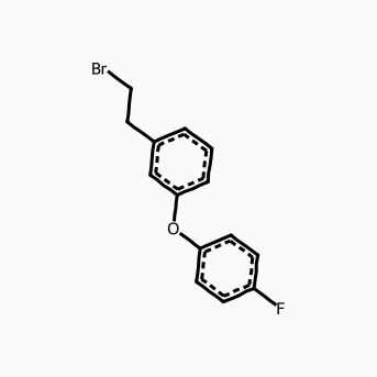 Fc1ccc(Oc2cccc(CCBr)c2)cc1